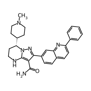 CN1CCC([C@H]2CCNc3c(C(N)=O)c(-c4ccc5ccc(-c6ccccc6)nc5c4)nn32)CC1